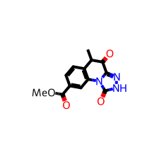 COC(=O)c1ccc2c(c1)-n1c(n[nH]c1=O)C(=O)C2C